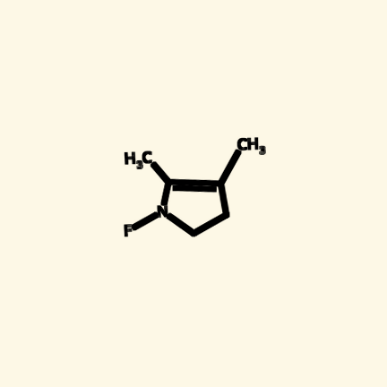 CC1=C(C)N(F)CC1